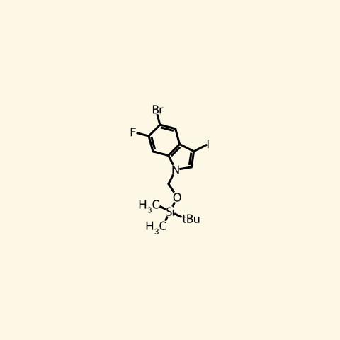 CC(C)(C)[Si](C)(C)OCn1cc(I)c2cc(Br)c(F)cc21